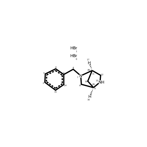 Br.Br.c1ccc(CN2C[C@H]3C[C@@H]2CN3)cc1